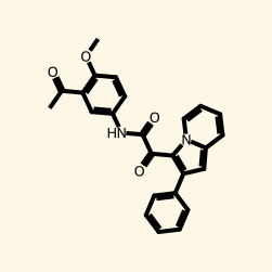 COc1ccc(NC(=O)C(=O)c2c(-c3ccccc3)cc3ccccn23)cc1C(C)=O